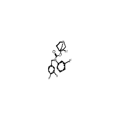 O=C(O[C@H]1CN2CCC1CC2)N(Cc1ccc(F)c(F)c1)c1cccc(F)c1